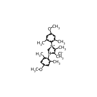 COc1cc(C)c(-n2c[n+](-c3c(C)cc(OC)cc3C)c(C)c2C)c(C)c1.[Cl-]